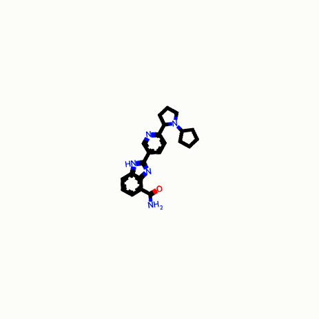 NC(=O)c1cccc2[nH]c(-c3ccc(C4CCCN4C4CCCC4)nc3)nc12